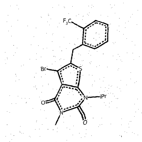 CC(C)n1c(=O)n(C)c(=O)c2c(Br)c(Cc3ccccc3C(F)(F)F)sc21